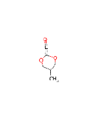 CC1COC(=C=O)OC1